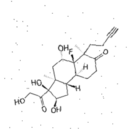 C#CCC[C@@]1(C)C(=O)CC[C@H]2[C@@H]3C[C@@H](O)[C@](O)(C(=O)CO)[C@@]3(C)C[C@H](O)[C@@]21F